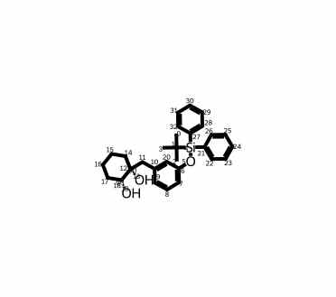 CC(C)(C)[Si](Oc1cccc(C[C@]2(O)CCCC[C@H]2O)c1)(c1ccccc1)c1ccccc1